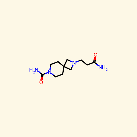 NC(=O)CCN1CC2(CCN(C(N)=O)CC2)C1